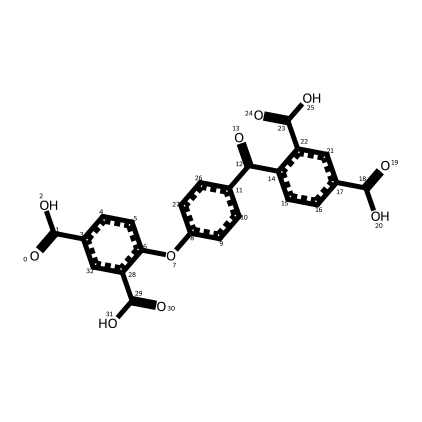 O=C(O)c1ccc(Oc2ccc(C(=O)c3ccc(C(=O)O)cc3C(=O)O)cc2)c(C(=O)O)c1